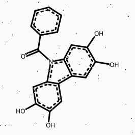 O=C(c1ccccc1)n1c2cc(O)c(O)cc2c2cc(O)c(O)cc21